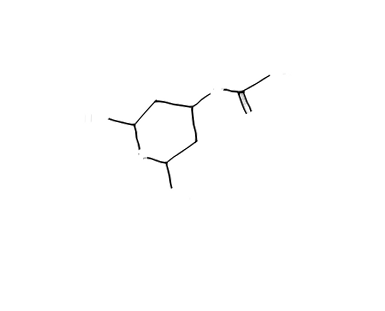 CC1CC(OC(=O)C(C)(C)C)CC(C)N1